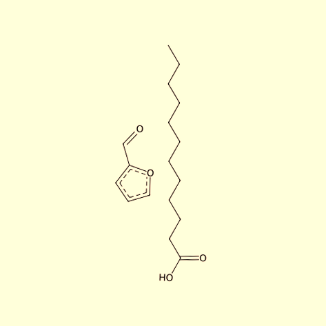 CCCCCCCCCCCC(=O)O.O=Cc1ccco1